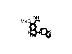 COc1cc2nncc(N3CCc4sccc4C3)c2cc1C(C)O